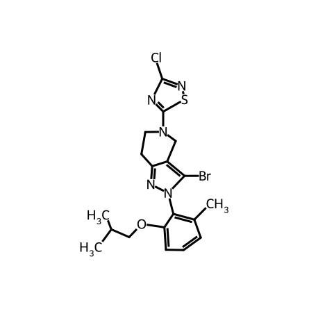 Cc1cccc(OCC(C)C)c1-n1nc2c(c1Br)CN(c1nc(Cl)ns1)CC2